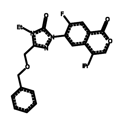 CCn1c(COCc2ccccc2)nn(-c2cc3c(C(C)C)coc(=O)c3cc2F)c1=O